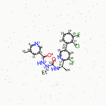 CCN(NC(=O)c1cncc(C)c1)C(=O)N[C@H](C)c1ncc(-c2cccc(F)c2Cl)cc1F